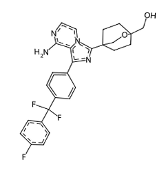 Nc1nccn2c(C34CCC(CO)(CC3)OC4)nc(C3=C=C=C(C(F)(F)c4ccc(F)cc4)C=C3)c12